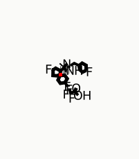 C[C@@]1(c2cccc(F)c2)N=C(Cc2ccc(F)cc2)N[C@@H]1c1cccc(F)c1.O=C(O)C(F)(F)F